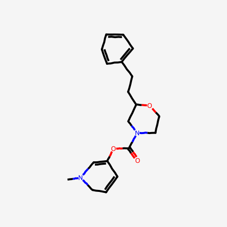 CN1C=C(OC(=O)N2CCOC(CCc3ccccc3)C2)C=CC1